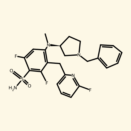 CN(c1cc(F)c(S(N)(=O)=O)c(F)c1Cc1cccc(F)n1)[C@H]1CCN(Cc2ccccc2)C1